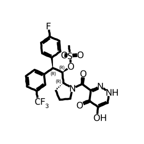 CS(=O)(=O)O[C@H]([C@H](c1ccc(F)cc1)c1cccc(C(F)(F)F)c1)[C@H]1CCCN1C(=O)c1n[nH]cc(O)c1=O